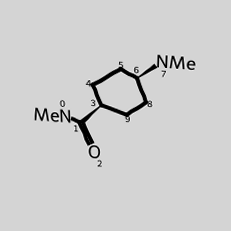 CNC(=O)[C@H]1CC[C@@H](NC)CC1